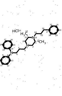 C[C@@H]1CN(CCCN(c2ccccc2)c2ccccc2)C[C@H](C)N1CCCc1ccccc1.Cl